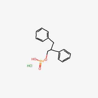 Cl.O=[PH](O)OCC(Cc1ccccc1)c1ccccc1